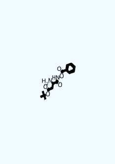 CC(C)(C)OC(=O)CC(N)C(=O)NOC(=O)c1ccccc1